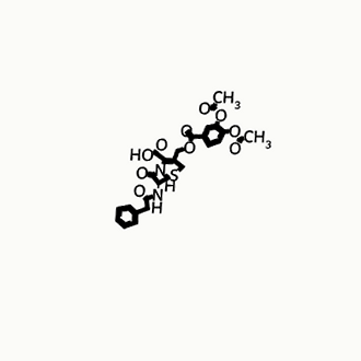 CC(=O)Oc1ccc(C(=O)OCC2=C(C(=O)O)N3C(=O)[C@@H](NC(=O)Cc4ccccc4)[C@H]3SC2)cc1OC(C)=O